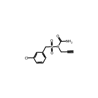 C#CCN(C(N)=O)S(=O)(=O)Cc1cccc(Cl)c1